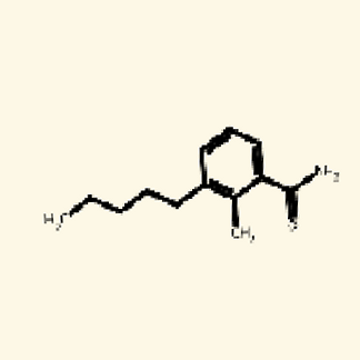 CCCCCc1cccc(C(N)=O)c1C